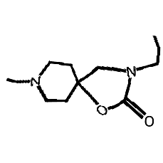 CCN1CC2(CCN(C)CC2)OC1=O